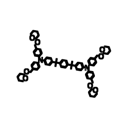 CC(C)(c1ccc(N(c2ccc(COC3CCCCO3)cc2)c2ccc(COC3CCCCO3)cc2)cc1)c1ccc(C(C)(C)c2ccc(N(c3ccc(COC4CCCCO4)cc3)c3ccc(COC4CCCCO4)cc3)cc2)cc1